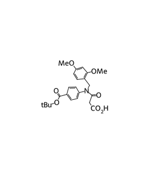 COc1ccc(CN(C(=O)CC(=O)O)c2ccc(C(=O)OC(C)(C)C)cc2)c(OC)c1